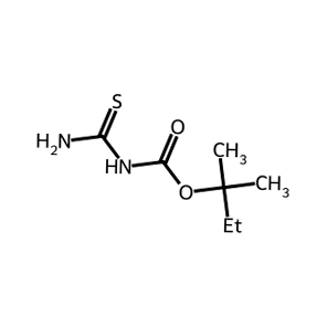 CCC(C)(C)OC(=O)NC(N)=S